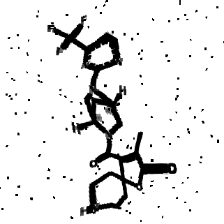 CC1=C(C(=O)N2C[C@@H]3C[C@H]2CN3c2nccc(C(F)(F)F)n2)C2(CCNCC2)OC1=O